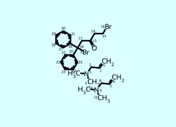 C=CCN(C)C.C=CCN(C)C.O=C(CCBr)CC(Br)(c1ccccc1)c1ccccc1